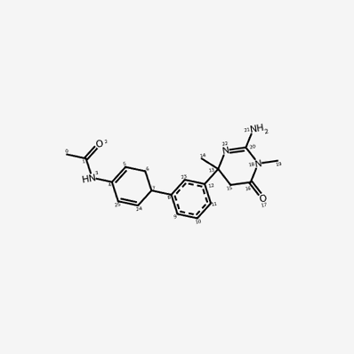 CC(=O)NC1=CCC(c2cccc(C3(C)CC(=O)N(C)C(N)=N3)c2)C=C1